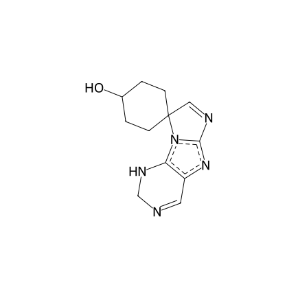 OC1CCC2(C=Nc3nc4c(n32)NCN=C4)CC1